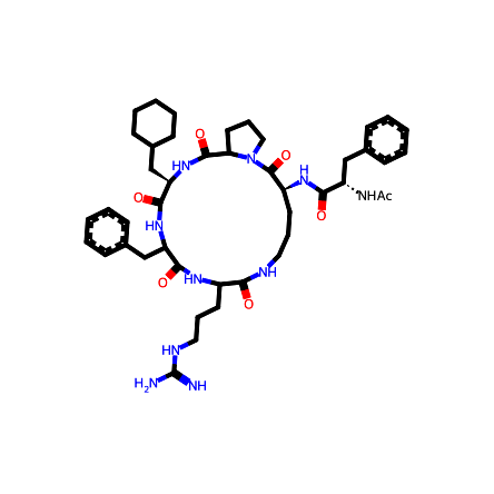 CC(=O)N[C@@H](Cc1ccccc1)C(=O)N[C@H]1CCCNC(=O)C(CCCNC(=N)N)NC(=O)C(Cc2ccccc2)NC(=O)[C@@H](CC2CCCCC2)NC(=O)C2CCCN2C1=O